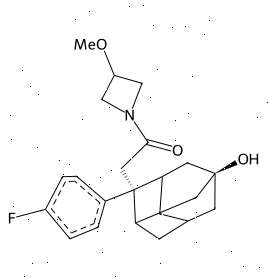 COC1CN(C(=O)C[C@]2(c3ccc(F)cc3)C3CC4CC2C[C@@](O)(C4)C3)C1